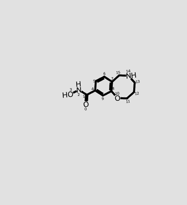 O=C(NO)c1ccc2c(c1)OCCCNC2